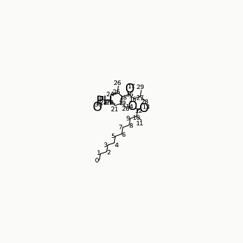 CCCCCCCCCCC(C)C(=O)OC(C(=O)c1c(C)cc(C)cc1C)C(C)C.O=P